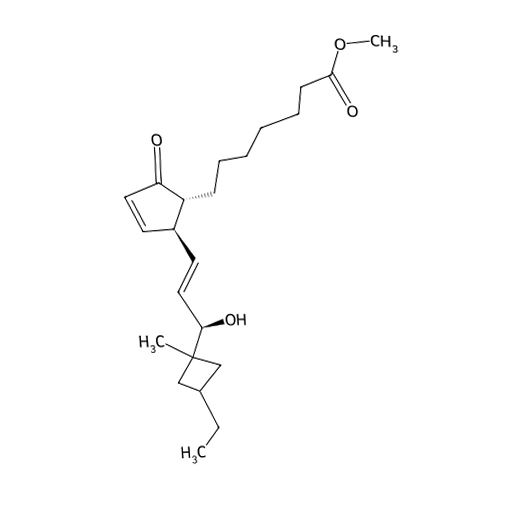 CCC1CC(C)([C@H](O)/C=C/[C@H]2C=CC(=O)[C@@H]2CCCCCCC(=O)OC)C1